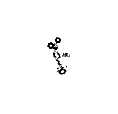 Cl.Cl.O=C1N(CCCCN2CCN(c3cn(-c4ccccc4)c4ccccc34)CC2)CSC12CCCCC2